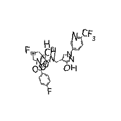 C[C@@]1(C(=O)NCc2cn(-c3ccc(C(F)(F)F)nc3)nc2O)C[C@@H](F)CN1S(=O)(=O)c1ccc(F)cc1